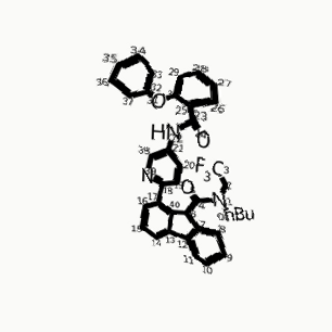 CCCCN(CC(F)(F)F)C(=O)C1c2ccccc2-c2cccc(-c3ccc(NC(=O)c4ccccc4Oc4ccccc4)cn3)c21